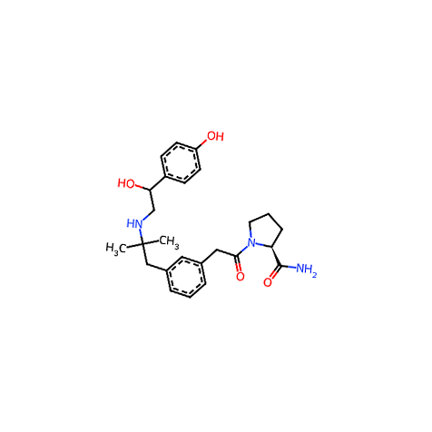 CC(C)(Cc1cccc(CC(=O)N2CCC[C@H]2C(N)=O)c1)NCC(O)c1ccc(O)cc1